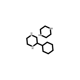 C1CCC(C2CNCCN2)CC1.C1CNCCN1